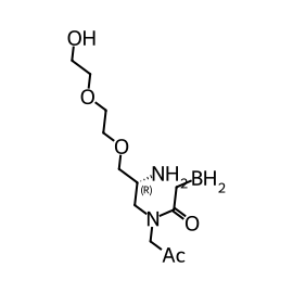 BCC(=O)N(CC(C)=O)C[C@@H](N)COCCOCCO